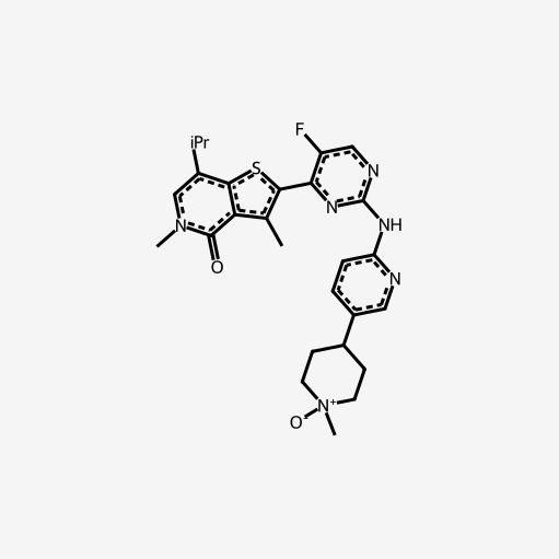 Cc1c(-c2nc(Nc3ccc(C4CC[N+](C)([O-])CC4)cn3)ncc2F)sc2c(C(C)C)cn(C)c(=O)c12